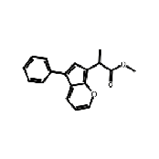 COC(=O)C(C)c1cc(-c2ccccc2)c2cccoc1-2